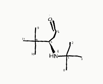 CC(C)(C)N[C@H](C=O)C(C)(C)C